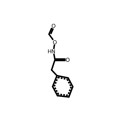 O=CONC(=O)Cc1ccccc1